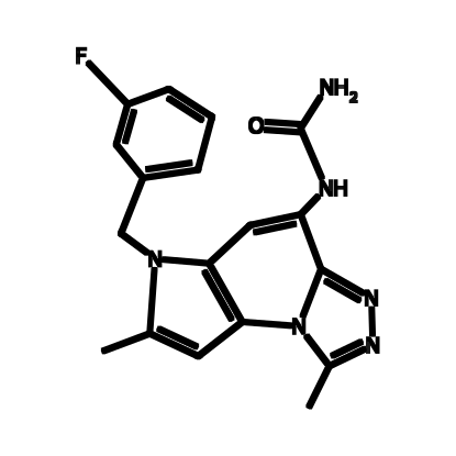 Cc1cc2c(cc(NC(N)=O)c3nnc(C)n32)n1Cc1cccc(F)c1